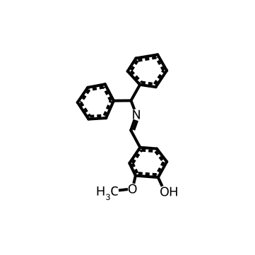 COc1cc(/C=N/C(c2ccccc2)c2ccccc2)ccc1O